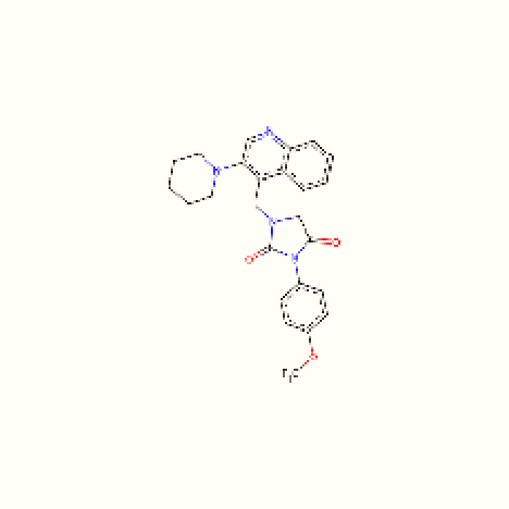 O=C1CN(Cc2c(N3CCCCC3)cnc3ccccc23)C(=O)N1c1ccc(OC(F)(F)F)cc1